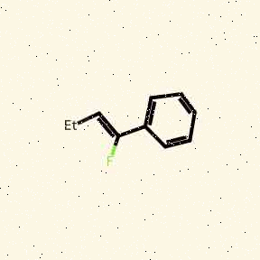 CCC=C(F)c1ccccc1